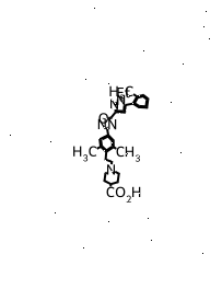 CCn1nc(-c2nc(-c3cc(C)c(CCN4CCC(C(=O)O)CC4)c(C)c3)no2)cc1-c1ccccc1C